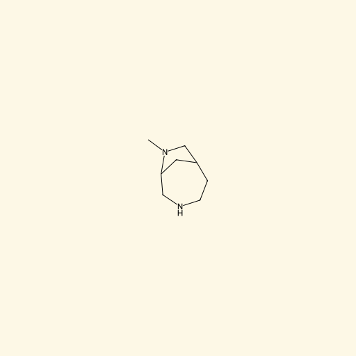 CN1CC2CCNCC1C2